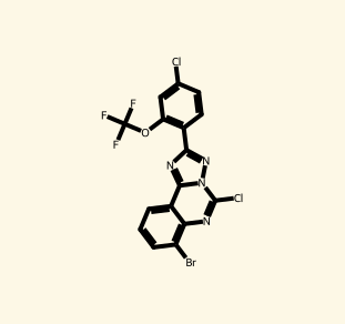 FC(F)(F)Oc1cc(Cl)ccc1-c1nc2c3cccc(Br)c3nc(Cl)n2n1